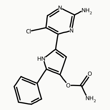 NC(=O)Oc1cc(-c2nc(N)ncc2Cl)[nH]c1-c1ccccc1